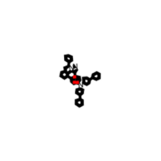 c1ccc(-c2ccc(N(c3ccc(-c4ccccc4)cc3)c3ccc(-c4cccc5cc(-c6ccccc6)n6ncc(-c7ccccc7)c6c45)cc3)cc2)cc1